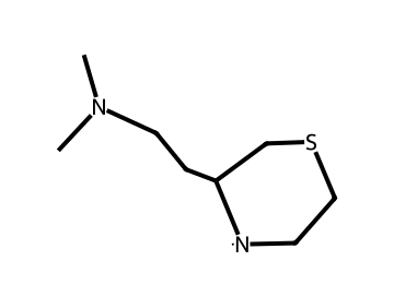 CN(C)CCC1CSCC[N]1